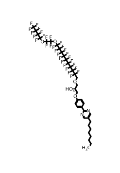 CCCCCCCCc1cnc(-c2ccc(OC[C@@H](O)COCC(F)(F)C(F)(F)C(F)(F)C(F)(F)C(F)(F)C(F)(F)C(F)(F)C(F)(F)C(F)(F)OC(F)(F)C(F)(F)OC(F)(F)C(F)(F)C(F)(F)C(F)(F)F)cc2)nc1